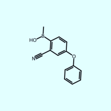 CB(O)c1ccc(Oc2ccccc2)cc1C#N